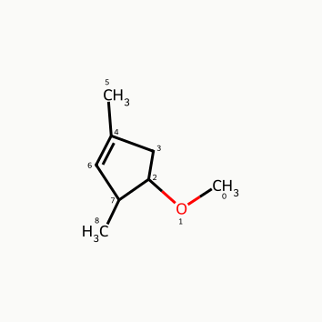 COC1CC(C)=CC1C